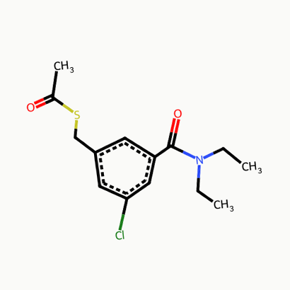 CCN(CC)C(=O)c1cc(Cl)cc(CSC(C)=O)c1